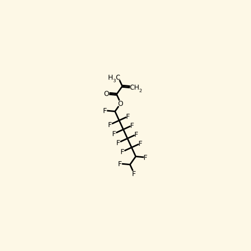 C=C(C)C(=O)OC(F)C(F)(F)C(F)(F)C(F)(F)C(F)(F)C(F)C(F)F